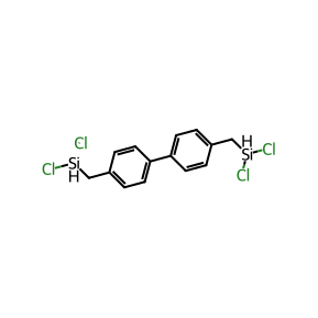 Cl[SiH](Cl)Cc1ccc(-c2ccc(C[SiH](Cl)Cl)cc2)cc1